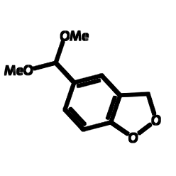 COC(OC)c1ccc2c(c1)COO2